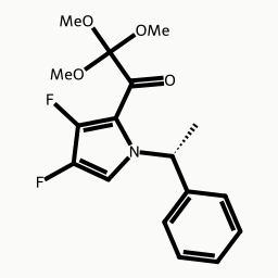 COC(OC)(OC)C(=O)c1c(F)c(F)cn1[C@H](C)c1ccccc1